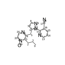 CCCc1c(Cc2ccnn2-c2ncccc2C#N)ncc[n+]1[O-]